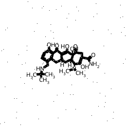 CN(C)[C@@H]1C(O)=C(C(N)=O)CC(=O)[C@@]2(O)C(O)=C3C(=O)c4c(O)ccc(CNC(C)(C)C)c4C[C@H]3C[C@@H]12